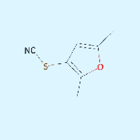 Cc1cc(SC#N)c(C)o1